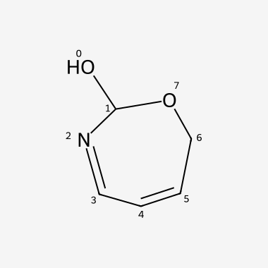 OC1N=CC=CCO1